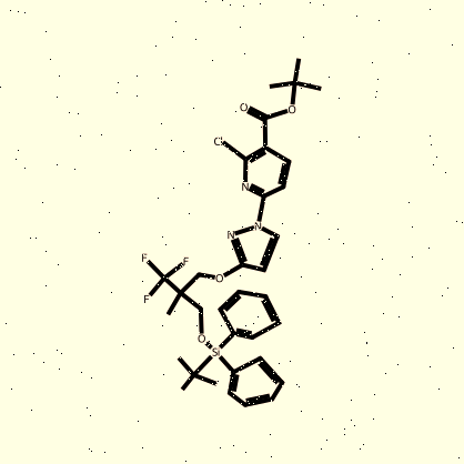 CC(C)(C)OC(=O)c1ccc(-n2ccc(OCC(C)(CO[Si](c3ccccc3)(c3ccccc3)C(C)(C)C)C(F)(F)F)n2)nc1Cl